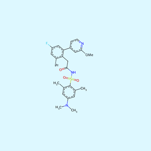 COc1cc(-c2cc(F)cc(C(C)C)c2CC(=O)NS(=O)(=O)c2c(C)cc(N(C)C)cc2C)ccn1